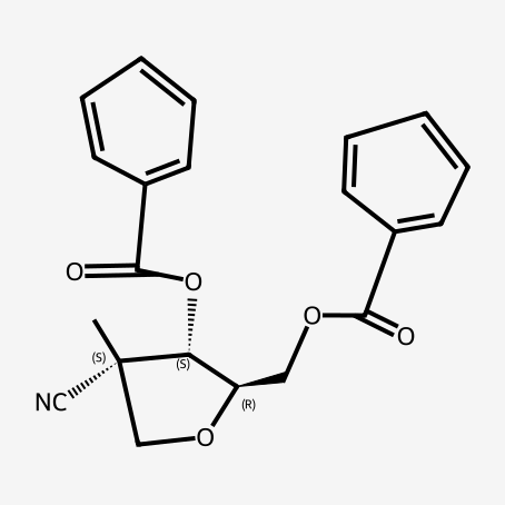 C[C@]1(C#N)CO[C@H](COC(=O)c2ccccc2)[C@H]1OC(=O)c1ccccc1